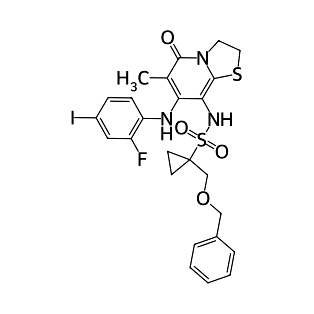 Cc1c(Nc2ccc(I)cc2F)c(NS(=O)(=O)C2(COCc3ccccc3)CC2)c2n(c1=O)CCS2